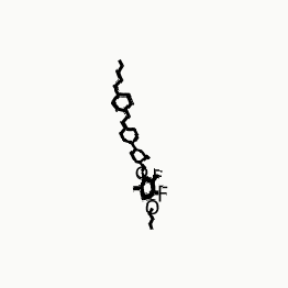 CCCCCC1CCC(CCC2CCC(C3CCC(COc4c(C)cc(OCCCC)c(F)c4F)CC3)CC2)CC1